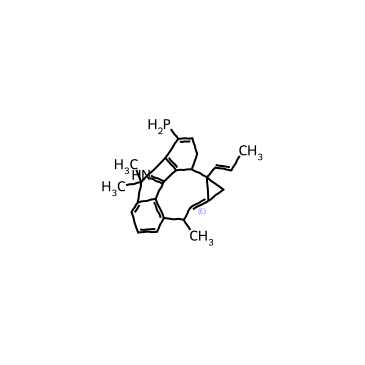 CC=CC12C/C1=C\C(C)c1cccc3c1C(=N)C1=C(C(P)=CCC12)C3(C)C